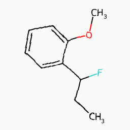 CCC(F)c1ccccc1OC